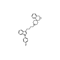 Fc1ccc(-n2cc(CCCCN3CCC4(CC3)COCc3ccccc34)c3ccccc32)cc1